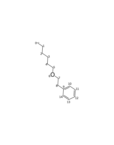 [CH2]CCCCCOCCc1ccccc1